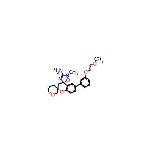 COCCOc1cccc(-c2ccc3c(c2)C2(CC4(CCCOC4)O3)N=C(N)N(C)O2)c1